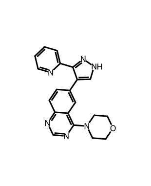 c1ccc(-c2n[nH]cc2-c2ccc3ncnc(N4CCOCC4)c3c2)nc1